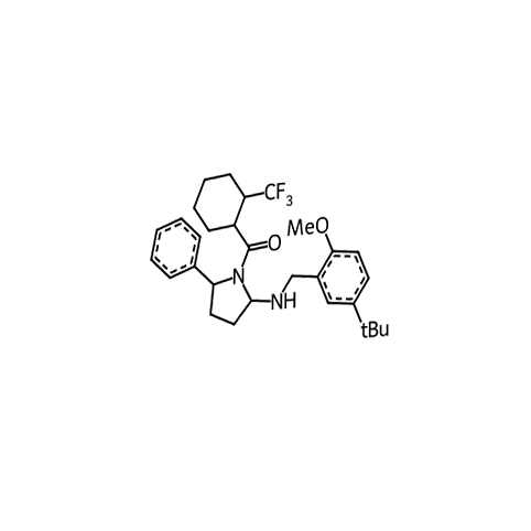 COc1ccc(C(C)(C)C)cc1CNC1CCC(c2ccccc2)N1C(=O)C1CCCCC1C(F)(F)F